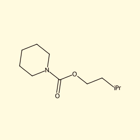 CC(C)CCOC(=O)N1CCCCC1